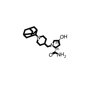 NC(=O)[C@H]1C[C@@H](O)CN1CC1CCN(C2C3CC4CC(C3)CC2C4)CC1